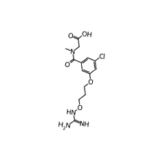 CN(CC(=O)O)C(=O)c1cc(Cl)cc(OCCCONC(=N)N)c1